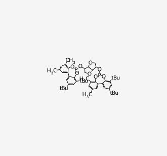 Cc1cc(C)c2op(O[C@@H]3COC4C3OC[C@H]4Op3oc4c(C)cc(C)cc4c4cc(C(C)(C)C)cc(C(C)(C)C)c4o3)oc3c(C(C)(C)C)cc(C(C)(C)C)cc3c2c1